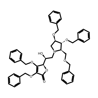 O=C1O[C@H]([C@@H](O)CN2C[C@@H](OCc3ccccc3)[C@H](OCc3ccccc3)[C@H]2COCc2ccccc2)C(OCc2ccccc2)=C1OCc1ccccc1